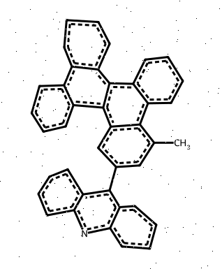 Cc1cc(-c2c3ccccc3nc3ccccc23)cc2c1c1ccccc1c1c3ccccc3c3ccccc3c21